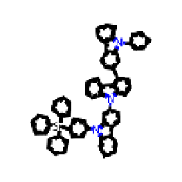 c1ccc(-n2c3ccccc3c3ccc(-c4cccc5c4c4ccccc4n5-c4ccc5c6ccccc6n(-c6ccc([Si](c7ccccc7)(c7ccccc7)c7ccccc7)cc6)c5c4)cc32)cc1